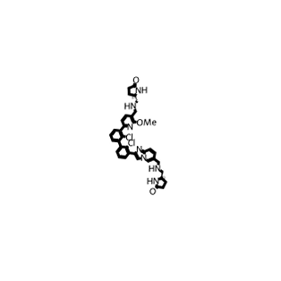 COc1nc(-c2cccc(-c3cccc(-c4cn5cc(CNC[C@H]6CCC(=O)N6)ccc5n4)c3Cl)c2Cl)ccc1CNC[C@@H]1CCC(=O)N1